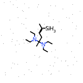 CCN(CC)C(C)(C/C=C(/C)[SiH3])N(CC)CC